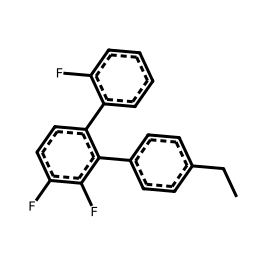 CCc1ccc(-c2c(-c3ccccc3F)ccc(F)c2F)cc1